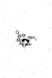 N.N[N+](=O)[O-].c1cnon1